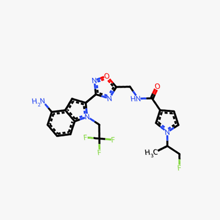 CC(CF)n1ccc(C(=O)NCc2nc(-c3cc4c(N)cccc4n3CC(F)(F)F)no2)c1